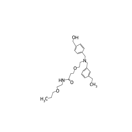 CCCOCCNC(=O)CCOCCN(Cc1ccc(CO)cc1)Cc1cccc(CC)c1